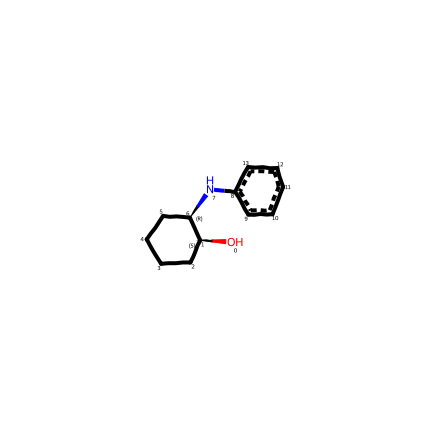 O[C@H]1CCCC[C@H]1Nc1ccccc1